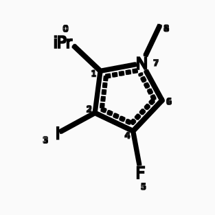 CC(C)c1c(I)c(F)cn1C